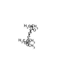 CO[Si](CCCSSSSC(=O)N(C)C)(OC)OC